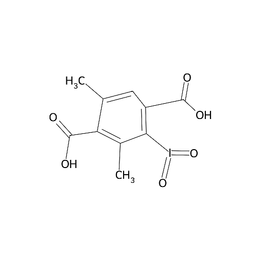 Cc1cc(C(=O)O)c(I(=O)=O)c(C)c1C(=O)O